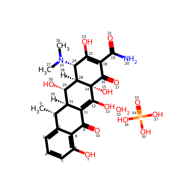 C[C@H]1c2cccc(O)c2C(=O)C2=C(O)[C@]3(O)C(=O)C(C(N)=O)=C(O)[C@@H](N(C)C)[C@@H]3[C@@H](O)[C@@H]21.O.O=P(O)(O)O